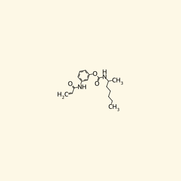 C=CC(=O)Nc1cccc(OC(=O)NC(C)CCCCC)c1